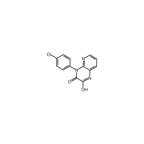 O=c1c(O)nc2cccnc2n1-c1ccc(Cl)cc1